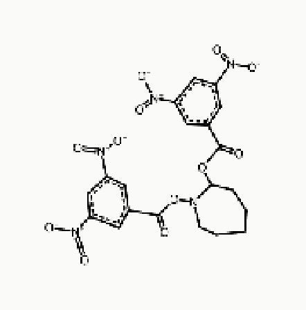 O=C(OC1CCCCCN1OC(=O)c1cc([N+](=O)[O-])cc([N+](=O)[O-])c1)c1cc([N+](=O)[O-])cc([N+](=O)[O-])c1